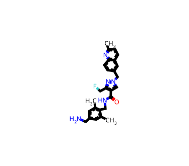 Cc1ccc2cc(Cn3cc(C(=O)NCc4c(C)cc(CN)cc4C)c(CF)n3)ccc2n1